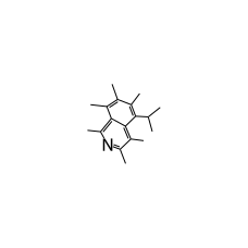 Cc1nc(C)c2c(C)c(C)c(C)c(C(C)C)c2c1C